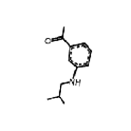 CC(=O)c1cccc(NCC(C)C)c1